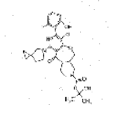 CC(C)(C)OC(=O)N1CCN2C(=O)c3c(N4CCC5(CC5)C4)nc(-c4c(O)cccc4F)c(Cl)c3OCC2C1